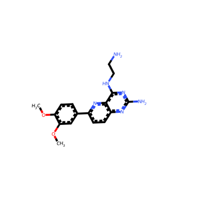 COc1ccc(-c2ccc3nc(N)nc(NCCN)c3n2)cc1OC